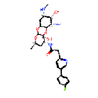 CN[C@H]1CC2OC3O[C@H](C)C[C@@H](NC(=O)Cc4ccc(-c5ccc(F)cc5)cn4)[C@]3(O)OC2[C@@H](NC)[C@H]1O